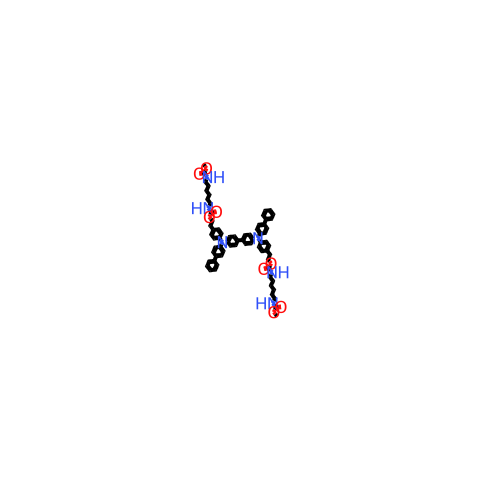 COC(=O)NCCCCCCNC(=O)OCCc1ccc(N(c2ccc(-c3ccccc3)cc2)c2ccc(-c3ccc(N(c4ccc(CCOC(=O)NCCCCCCNC(=O)OC)cc4)c4ccc(-c5ccccc5)cc4)cc3)cc2)cc1